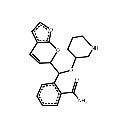 NC(=O)c1ccccc1C(OC1CCCNC1)C1C=Cc2ccoc2O1